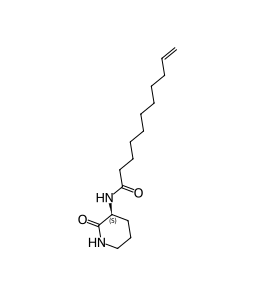 C=CCCCCCCCCC(=O)N[C@H]1CCCNC1=O